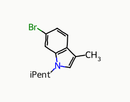 CCCC(C)n1cc(C)c2ccc(Br)cc21